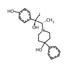 C[C@H](N1CCC(O)(c2ccccc2)CC1)[C@@](O)(I)c1ccc(O)cc1